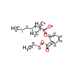 CCCCCC(C)(C)C(=O)Oc1ccccc1C(=O)OCCC